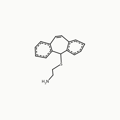 NCCSC1c2ccccc2C=Cc2ccccc21